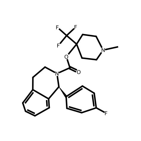 CN1CCC(OC(=O)N2CCc3ccccc3[C@@H]2c2ccc(F)cc2)(C(F)(F)F)CC1